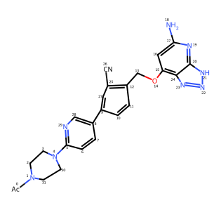 CC(=O)N1CCN(c2ccc(-c3ccc(COc4cc(N)nc5[nH]nnc45)c(C#N)c3)cn2)CC1